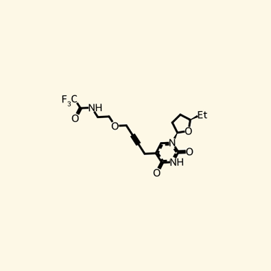 CC[C@@H]1CC[C@H](n2cc(CC#CCOCCNC(=O)C(F)(F)F)c(=O)[nH]c2=O)O1